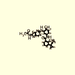 CC(=O)Nc1nc2cnc(Nc3cc(NC(=O)c4cccc(C5(C#N)CC5)c4C)ccc3C)nc2s1